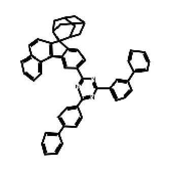 c1ccc(-c2ccc(-c3nc(-c4cccc(-c5ccccc5)c4)nc(-c4ccc5c(c4)-c4c(ccc6ccccc46)C54C5CC6CC(C5)CC4C6)n3)cc2)cc1